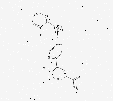 NC(=O)c1ccc(O)c(-c2ccc(N3CC4(c5ncccc5F)CC3C4)nn2)c1